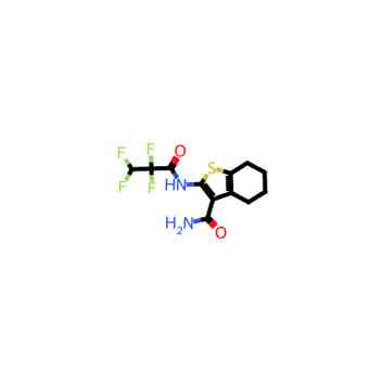 NC(=O)c1c(NC(=O)C(F)(F)C(F)F)sc2c1CCCC2